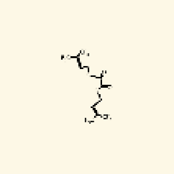 O=C(OCC=C(C(F)(F)F)C(F)(F)F)C(=O)OCC=C(C(F)(F)F)C(F)(F)F